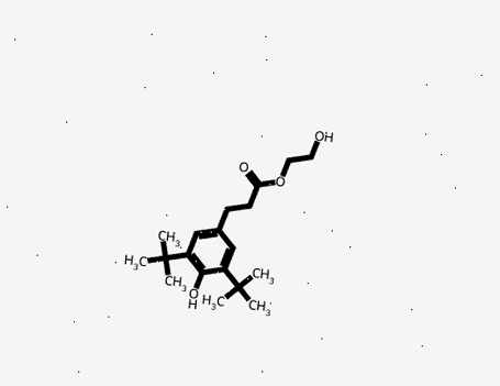 CC(C)(C)c1cc(CCC(=O)OCCO)cc(C(C)(C)C)c1O